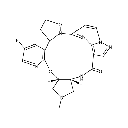 CN1C[C@@H]2Oc3ncc(F)cc3C3CCON3c3ccn4ncc(c4n3)C(=O)N[C@@H]2C1